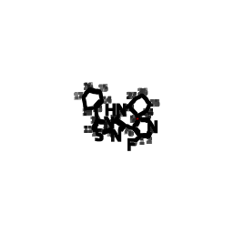 Fc1cnccc1-c1nc2scc(C3=CC=CCC3)n2c1NC1CCCCC1